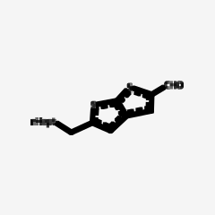 CCCCCCCCc1cc2cc(C=O)sc2s1